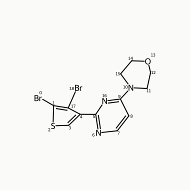 Brc1scc(-c2nccc(N3CCOCC3)n2)c1Br